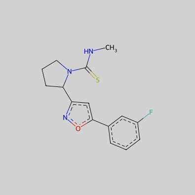 CNC(=S)N1CCCC1c1cc(-c2cccc(F)c2)on1